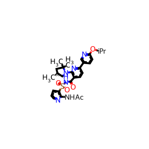 CC(=O)Nc1ncccc1S(=O)(=O)NC(=O)c1ccc(-c2ccc(OC(C)C)nc2)nc1N1C[C@@H](C)CC1(C)C